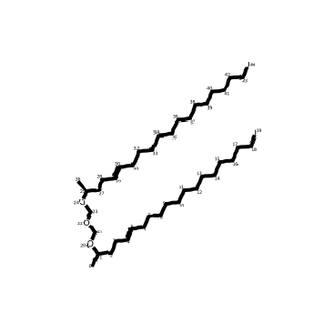 CC(CCC=CCCCCCCCCCCCCCI)OCOCOC(C)CCC=CCCCCCCCCCCCCCI